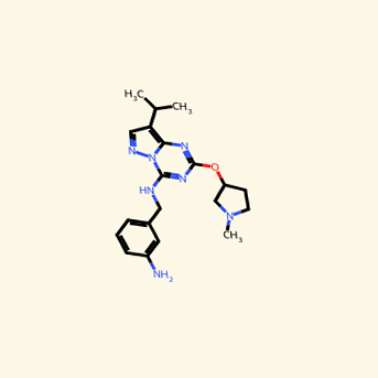 CC(C)c1cnn2c(NCc3cccc(N)c3)nc(OC3CCN(C)C3)nc12